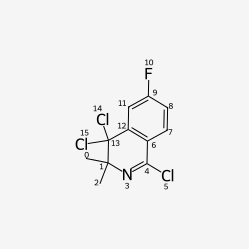 CC1(C)N=C(Cl)c2ccc(F)cc2C1(Cl)Cl